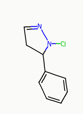 ClN1N=CCC1c1ccccc1